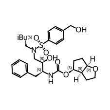 CC[C@H](C)CN(C[C@@H](O)[C@H](Cc1ccccc1)NC(=O)O[C@H]1CC[C@H]2OCC[C@@H]12)S(=O)(=O)c1ccc(CO)cc1